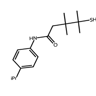 CC(C)c1ccc(NC(=O)CC(C)(C)C(C)(C)S)cc1